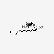 CCCCCCCC/C=C\CCCCCCCC(=O)O.O.[MgH2].[MgH2]